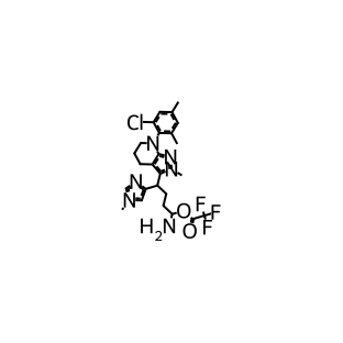 Cc1cc(C)c(N2CCCc3c2nn(C)c3C(CCC(N)OC(=O)C(F)(F)F)c2cn(C)cn2)c(Cl)c1